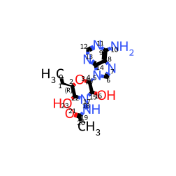 CC[C@H]1O[C@@H](n2cnc3c(N)ncnc32)C(O)N(NC(C)=O)C1O